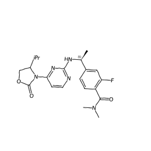 CC(C)C1COC(=O)N1c1ccnc(N[C@@H](C)c2ccc(C(=O)N(C)C)c(F)c2)n1